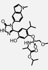 COCP(=O)(NC(C)C(=O)OC(C)C)Oc1cc(O)c(-c2n[nH]c(=O)n2-c2ccc3c(ccn3C)c2)cc1C(C)C